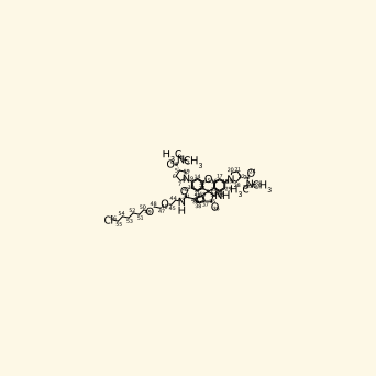 CN(C)C(=O)[C@H]1CCN(c2ccc3c(c2)Oc2cc(N4CC[C@H](C(=O)N(C)C)C4)ccc2C32C(=N)C(=O)c3ccc(C(=O)NCCOCCOCCCCCCCl)cc32)C1